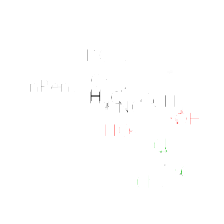 CC#N.CCCCCC.Cc1ccccc1C.ClC(Cl)Cl.OCCO